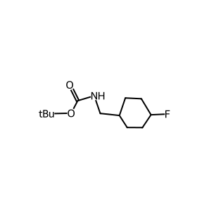 CC(C)(C)OC(=O)NCC1CCC(F)CC1